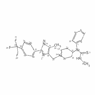 CNC(=S)N(c1ccccc1)C1CCN(Cc2nc(-c3ccc(C(F)(F)F)cc3)[nH]c2C)CC1